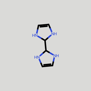 C1=CNC(C2NC=CN2)N1